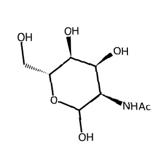 CC(=O)N[C@H]1C(O)O[C@H](CO)[C@@H](O)[C@H]1O